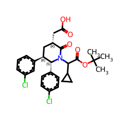 CC(C)(C)OC(=O)C(C1CC1)N1C(=O)[C@@H](CC(=O)O)C[C@H](c2cccc(Cl)c2)[C@H]1c1ccc(Cl)cc1